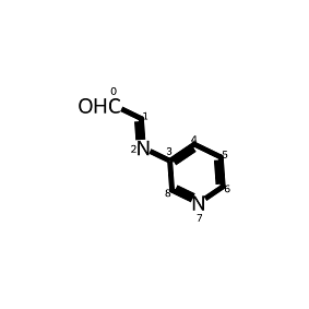 O=CC=Nc1cccnc1